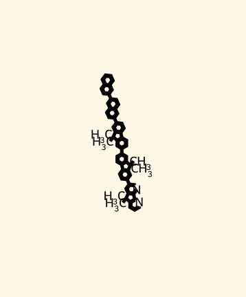 CC1(C)c2cc(-c3ccc4c(c3)C(C)(C)c3cc(-c5ccc6cc(-c7ccc8ccccc8c7)ccc6c5)ccc3-4)ccc2-c2ccc(-c3cnc4c(c3)C(C)(C)c3cccnc3-4)cc21